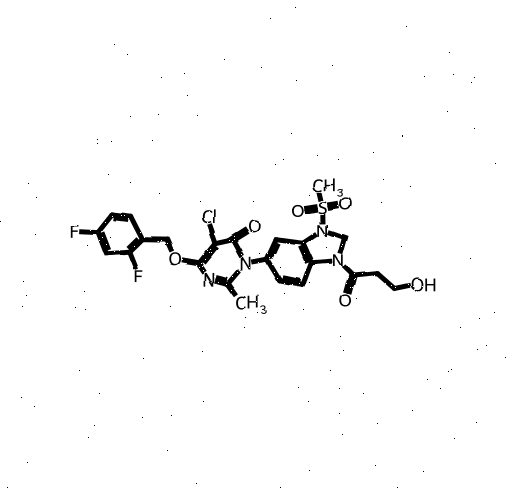 Cc1nc(OCc2ccc(F)cc2F)c(Cl)c(=O)n1-c1ccc2c(c1)N(S(C)(=O)=O)CN2C(=O)CCO